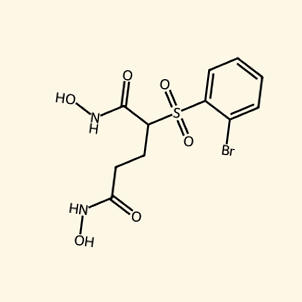 O=C(CCC(C(=O)NO)S(=O)(=O)c1ccccc1Br)NO